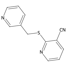 N#Cc1cccnc1SCc1cccnc1